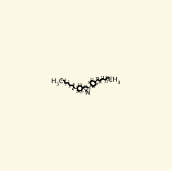 CCCCCCC[C@H]1CC[C@@](C#N)(CC[C@H]2CC[C@H](CCCCCC)CC2)CC1